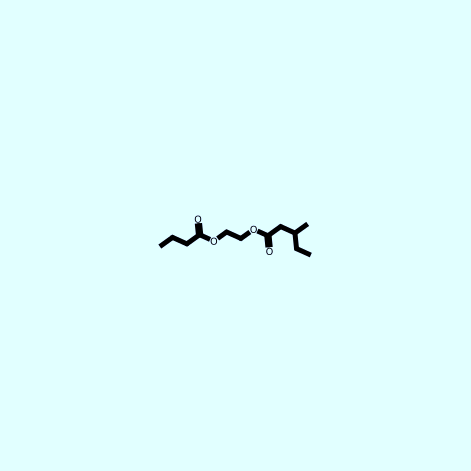 CCCC(=O)OCCOC(=O)CC(C)CC